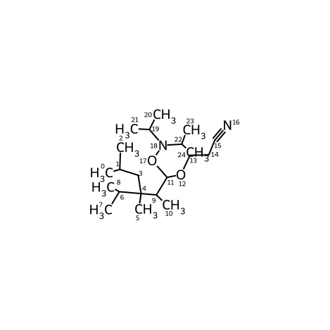 CC(C)CC(C)(C(C)C)C(C)C(OCCC#N)ON(C(C)C)C(C)C